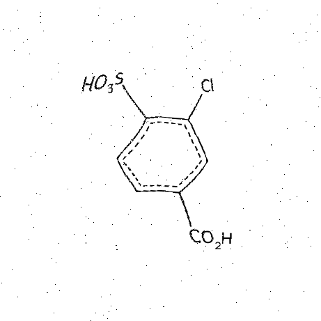 O=C(O)c1ccc(S(=O)(=O)O)c(Cl)c1